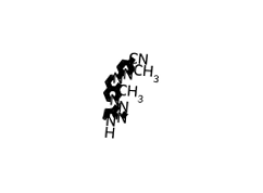 Cc1nc(N2CCC3CCN(c4ncnc5[nH]ccc45)CC3(C)C2)ccc1C#N